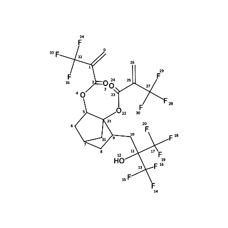 C=C(C(=O)OC1CC2CC(CC(O)(C(F)(F)F)C(F)(F)F)C1(OC(=O)C(=C)C(F)(F)F)C2)C(F)(F)F